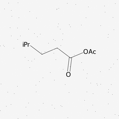 CC(=O)OC(=O)CCC(C)C